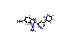 N#Cc1ccc2nc(-c3cncc(-c4cccnc4)c3)n(C3CC3)c2c1